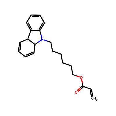 C=CC(=O)OCCCCCCN1c2ccccc2C2C=CC=CC21